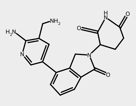 NCc1cc(-c2cccc3c2CN(C2CCC(=O)NC2=O)C3=O)cnc1N